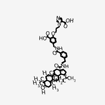 C=C(C)[C@@H]1CC[C@]2(C(=O)NCCc3cccc(C(=O)NCc4ccc(OCCCn5cncc5C(=O)O)c(C(=O)O)c4)c3)CC[C@]3(C)C(CCC4[C@@]5(C)CC[C@H](O)C(C)(C)C5CC[C@]43C)C12